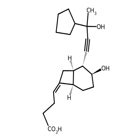 CC(O)(C#C[C@H]1[C@@H]2C/C(=C/CCC(=O)O)[C@@H]2CC[C@@H]1O)C1CCCC1